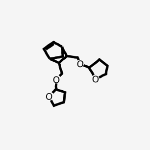 C1=CC2CC1C(COC1CCCO1)C2COC1CCCO1